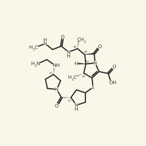 CNCC(=O)N[C@H](C)[C@H]1C(=O)N2C(C(=O)O)=C(SC3CN[C@H](C(=O)N4CC[C@H](NCN)C4)C3)[C@H](C)[C@H]12